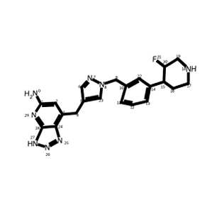 Nc1cc(Cc2cnn(Cc3cccc(C4CCNCC4F)c3)c2)c2nn[nH]c2n1